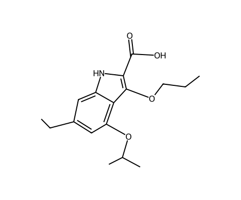 CCCOc1c(C(=O)O)[nH]c2cc(CC)cc(OC(C)C)c12